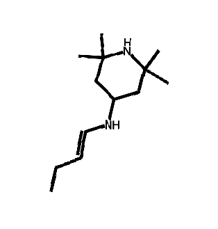 CCC=CNC1CC(C)(C)NC(C)(C)C1